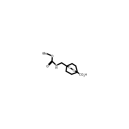 CC(C)(C)OC(=O)NCC12CCC(C(=O)O)(CC1)CC2